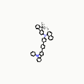 CC1(C)c2ccccc2-c2ccc(N(c3ccc(-c4ccc(-c5ccc6c7c(n(-c8ccccc8)c6c5)C=CCC7)cc4)cc3)c3cccc4ccccc34)cc21